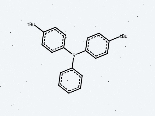 CC(C)(C)c1ccc([S+](c2ccccc2)c2ccc(C(C)(C)C)cc2)cc1